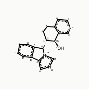 O[C@@H]1c2cnccc2CC[C@H]1C1c2ccccc2-c2cncn21